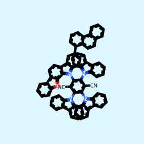 N#Cc1c(-n2c3ccccc3c3ccccc32)c(-n2c3ccccc3c3ccccc32)c(C#N)c(-n2c3ccc(-c4cccc5c4ccc4ccccc45)cc3c3ccc4c5ccccc5oc4c32)c1-n1c2ccccc2c2ccccc21